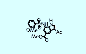 COC(=O)c1cc(NS(=O)(=O)c2ccccc2OC)c2[nH]cc(C(C)=O)c2c1